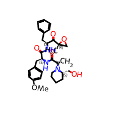 COc1ccc(C[C@H](NC(=O)[C@H](C)N2CCCC[C@H]2CO)C(=O)N[C@@H](Cc2ccccc2)C(=O)[C@@]2(C)CO2)cc1